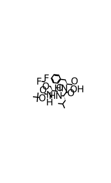 CC(C)C[C@H](NC(=O)[C@H](COC(F)F)NC(=O)OC(C)(C)C)C(=O)N[C@@H](Cc1ccccc1)C(=O)O